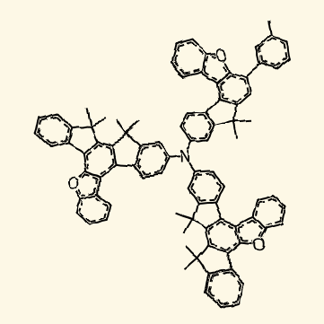 Cc1cccc(-c2cc3c(c4c2oc2ccccc24)-c2ccc(N(c4ccc5c(c4)C(C)(C)c4c6c(c7oc8ccccc8c7c4-5)-c4ccccc4C6(C)C)c4ccc5c(c4)C(C)(C)c4c6c(c7oc8ccccc8c7c4-5)-c4ccccc4C6(C)C)cc2C3(C)C)c1